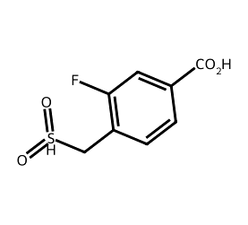 O=C(O)c1ccc(C[SH](=O)=O)c(F)c1